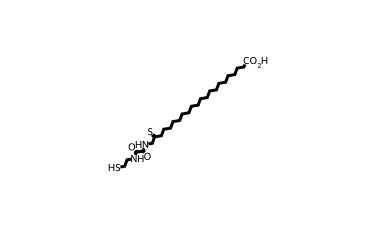 O=C(O)CCCCCCCCCCCCCCCCCCCC(=S)CNC(=O)C(=O)NCCS